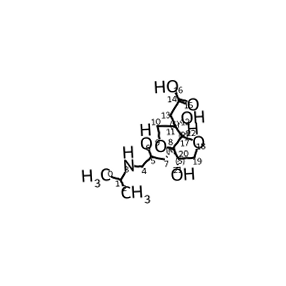 CC(C)NCC(O)C[C@]12OC[C@@](O)(CC(=O)O)[C@H]1OC[C@@H]2O